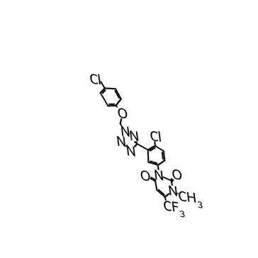 Cn1c(C(F)(F)F)cc(=O)n(-c2ccc(Cl)c(-c3nnn(COc4ccc(Cl)cc4)n3)c2)c1=O